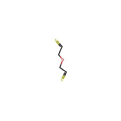 S=CCOCC=S